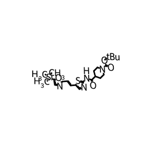 CC(C)(C)OC(=O)N1CCC(C(=O)Nc2ncc(C=Cc3ncc([Si](C)(C)C)o3)s2)CC1